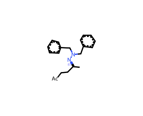 CC(=O)CC/C(C)=N/N(Cc1ccccc1)Cc1ccccc1